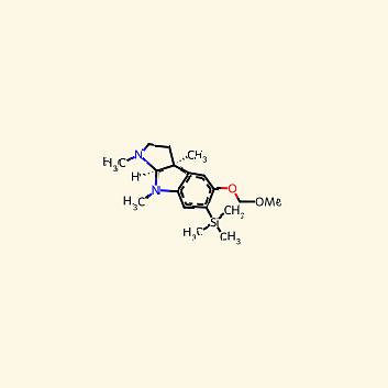 COCOc1cc2c(cc1[Si](C)(C)C)N(C)[C@H]1N(C)CC[C@@]21C